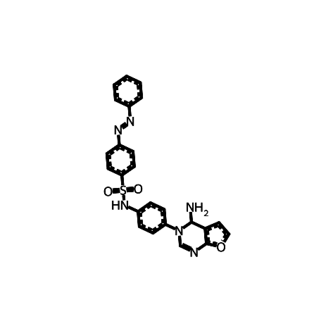 NC1c2ccoc2N=CN1c1ccc(NS(=O)(=O)c2ccc(N=Nc3ccccc3)cc2)cc1